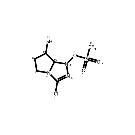 O=S(=O)(ON1N=C(Cl)N2CCC(S)C12)C(F)(F)F